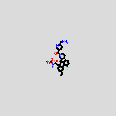 CCc1cccc(-c2c(Cl)cccc2C(O)(CCCNC(=O)OC)C2CCCN(C(=O)c3ccc(CN)nc3)C2)c1